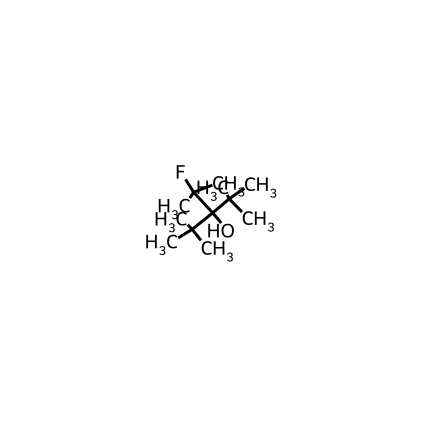 CC(C)(C)C(O)(C(C)(C)C)C(C)(C)F